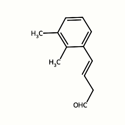 Cc1cccc(C=CCC=O)c1C